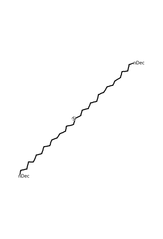 CCCCCCCCCCCCCCCCCCCCCCCC[Si]CCCCCCCCCCCCCCCCCCCCCCCC